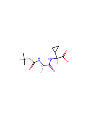 C[C@H](NC(=O)OC(C)(C)C)C(=O)NC(C)(C(=O)O)C1CC1